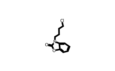 O=c1oc2ccccc2n1CCCCCl